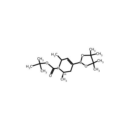 CC1C=C(B2OC(C)(C)C(C)(C)O2)C[C@@H](C)N1C(=O)OC(C)(C)C